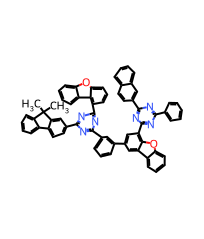 CC1(C)c2ccccc2-c2ccc(-c3nc(-c4cccc(-c5cc(-c6nc(-c7ccccc7)nc(-c7ccc8ccccc8c7)n6)c6oc7ccccc7c6c5)c4)nc(-c4cccc5oc6ccccc6c45)n3)cc21